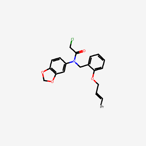 CC(C)/C=C/COc1ccccc1CN(C(=O)CCl)c1ccc2c(c1)OCO2